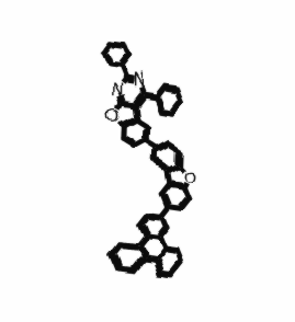 c1ccc(-c2nc(-c3ccccc3)c3c(n2)oc2ccc(-c4ccc5oc6ccc(-c7ccc8c9ccccc9c9ccccc9c8c7)cc6c5c4)cc23)cc1